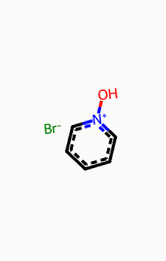 O[n+]1ccccc1.[Br-]